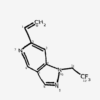 C=Cc1cc2c(cn1)cnn2CC(F)(F)F